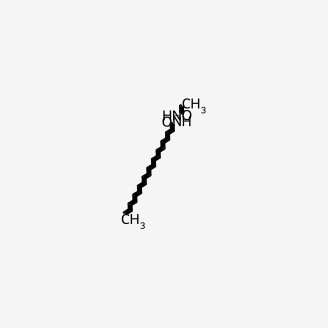 CCCCCCCCCCCCCCCCCCCCCC(=O)NNC(=O)CC